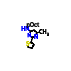 CCCCCCCCNc1cc(C)nc(-c2cccs2)n1